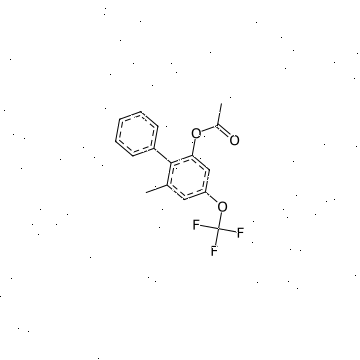 CC(=O)Oc1cc(OC(F)(F)F)cc(C)c1-c1ccccc1